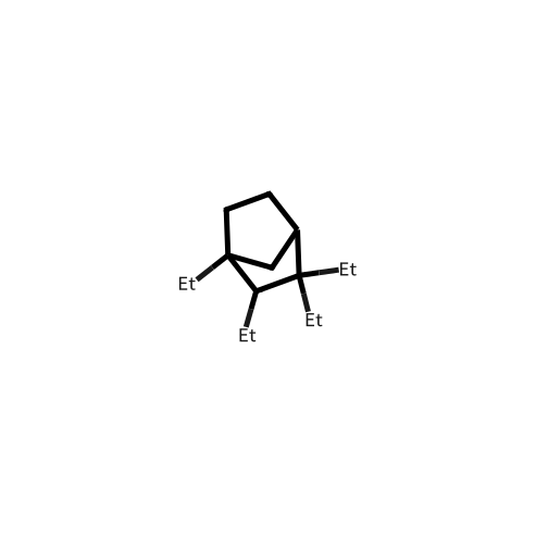 CC[C]1C2(CC)CCC(C2)C1(CC)CC